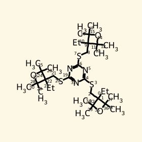 CCC1(CSc2nc(SCC3(CC)C(C)(C)OC3(C)C)nc(SCC3(CC)C(C)(C)OC3(C)C)n2)C(C)(C)OC1(C)C